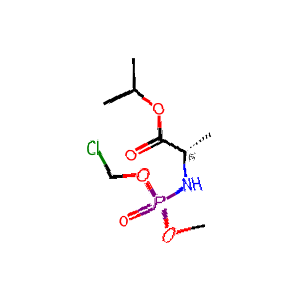 COP(=O)(N[C@@H](C)C(=O)OC(C)C)OCCl